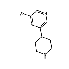 Cc1cncc(C2CCNCC2)n1